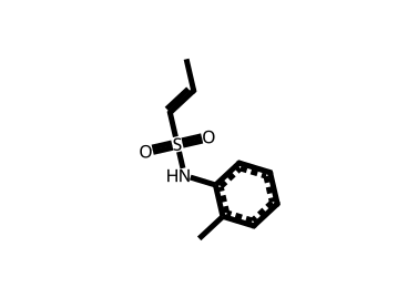 CC=CS(=O)(=O)Nc1ccccc1C